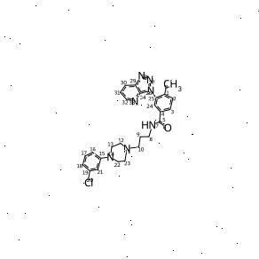 Cc1ccc(C(=O)NCCCN2CCN(c3cccc(Cl)c3)CC2)cc1-n1nnc2cccnc21